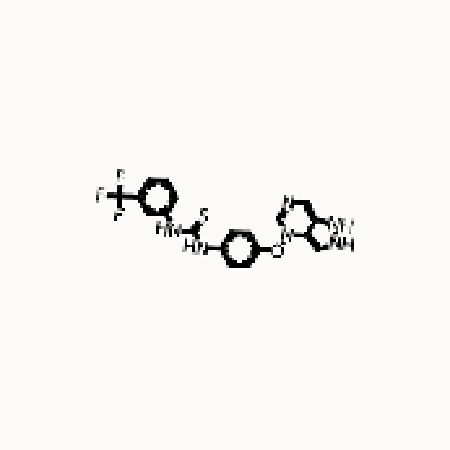 FC(F)(F)c1cccc(NC(=S)Nc2ccc(ON3C=NC=C4NNC=C43)cc2)c1